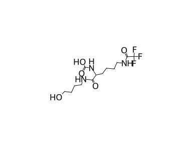 O=C(O)NC(CCCCNC(=O)C(F)(F)F)C(=O)NCCCCO